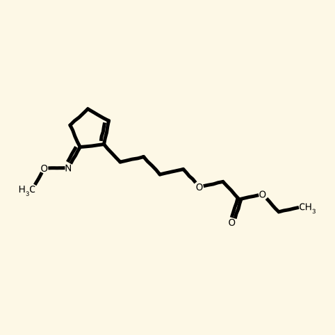 CCOC(=O)COCCCCC1=CCC/C1=N\OC